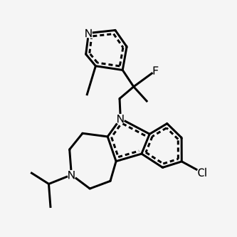 Cc1cnccc1C(C)(F)Cn1c2c(c3cc(Cl)ccc31)CCN(C(C)C)CC2